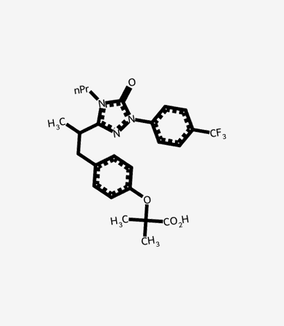 CCCn1c(C(C)Cc2ccc(OC(C)(C)C(=O)O)cc2)nn(-c2ccc(C(F)(F)F)cc2)c1=O